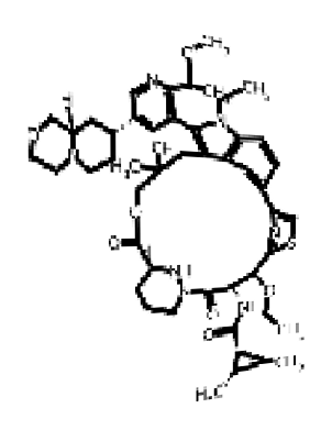 CCO[C@@H]1c2nc(cs2)-c2ccc3c(c2)c(c(-c2cc([C@@H]4CCN5CCOC[C@@H]5C4)cnc2[C@H](C)OC)n3CC)CC(C)(C)COC(=O)[C@@H]2CCCN(N2)C(=O)[C@H]1NC(=O)[C@H]1[C@H](C)[C@@H]1C